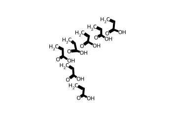 C=CC(=O)O.C=CC(=O)O.C=CC(=O)O.C=CC(=O)O.C=CC(=O)O.C=CC(=O)O.C=CC(=O)O